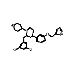 Clc1cc(Cl)cc(CC2CC(c3cccc(OCc4cnn[nH]4)c3)CCN2C2CCNCC2)c1